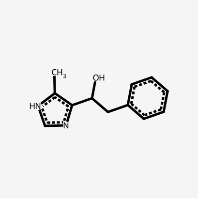 Cc1[nH]cnc1C(O)Cc1ccccc1